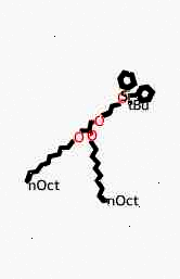 CCCCCCCC/C=C\CCCCCCCCOCC(COC=CCCO[Si](c1ccccc1)(c1ccccc1)C(C)(C)C)OCCCCCCCC/C=C\CCCCCCCC